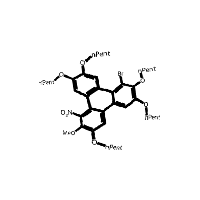 CCCCCOc1cc2c(cc1OCCCCC)c1c([N+](=O)[O-])c(OC)c(OCCCCC)cc1c1cc(OCCCCC)c(OCCCCC)c(Br)c21